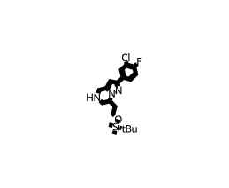 CC(C)(C)[Si](C)(C)OCCC1CNCc2cc(-c3ccc(F)c(Cl)c3)nn21